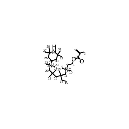 C=C(C)C(=O)OCC[N+](C)(C)CC(C)(CC)CC(C)(C)C[N+](C)(C)C1CC(C)(C)NC(C)(C)C1